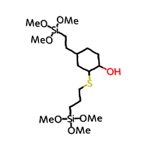 CO[Si](CCCSC1CC(CC[Si](OC)(OC)OC)CCC1O)(OC)OC